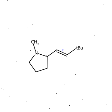 CN1CCCC1/C=C/C(C)(C)C